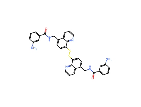 Nc1cccc(C(=O)NCc2ccc(SSc3ccc(CNC(=O)c4cccc(N)c4)c4cccnc34)c3ncccc23)c1